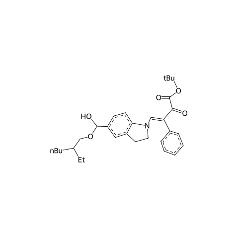 CCCCC(CC)COC(O)c1ccc2c(c1)CCN2/C=C(/C(=O)C(=O)OC(C)(C)C)c1ccccc1